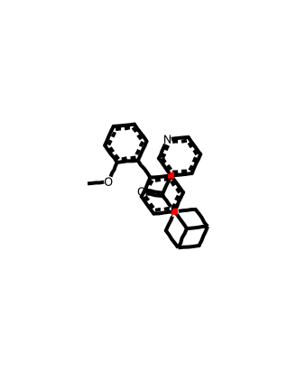 COc1ccccc1-c1ccc(C2C3CC2CN(C(=O)c2cccnc2)C3)cc1